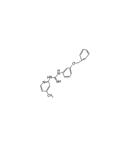 Cc1ccnc(NC(=N)Nc2cccc(OCc3ccccc3)c2)c1